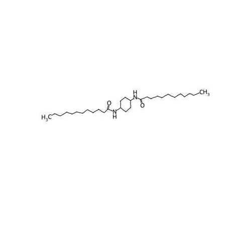 CCCCCCCCCCCC(=O)NC1CCC(NC(=O)CCCCCCCCCCC)CC1